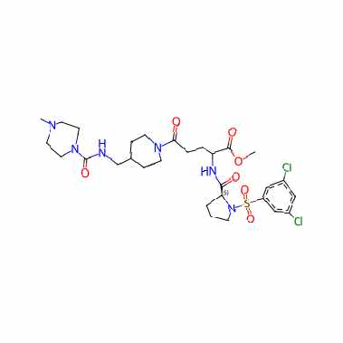 COC(=O)C(CCC(=O)N1CCC(CNC(=O)N2CCN(C)CC2)CC1)NC(=O)[C@@H]1CCCN1S(=O)(=O)c1cc(Cl)cc(Cl)c1